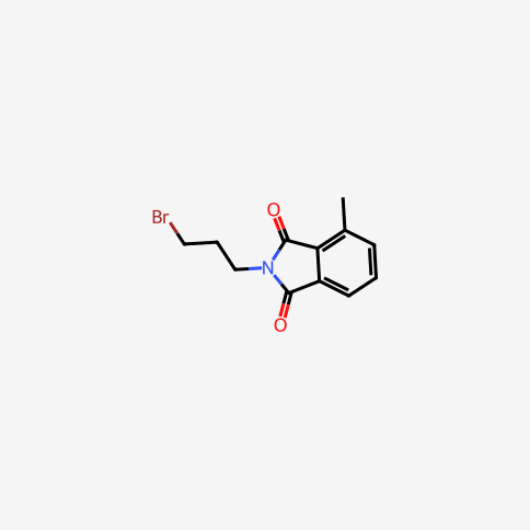 Cc1cccc2c1C(=O)N(CCCBr)C2=O